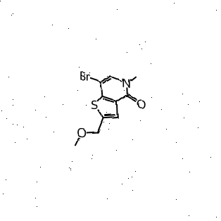 COCc1cc2c(=O)n(C)cc(Br)c2s1